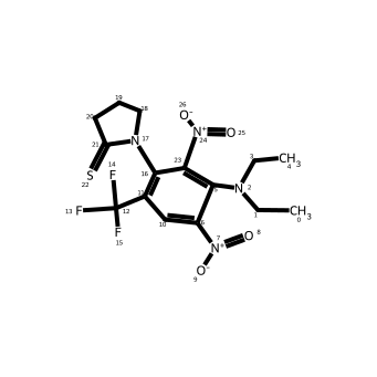 CCN(CC)c1c([N+](=O)[O-])cc(C(F)(F)F)c(N2CCCC2=S)c1[N+](=O)[O-]